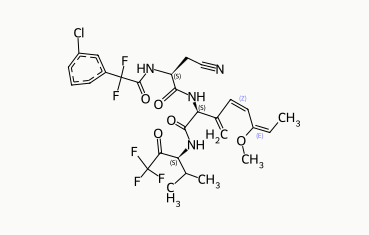 C=C(/C=C\C(=C/C)OC)[C@H](NC(=O)[C@H](CC#N)NC(=O)C(F)(F)c1cccc(Cl)c1)C(=O)N[C@H](C(=O)C(F)(F)F)C(C)C